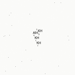 [AlH3].[KH].[KH].[KH]